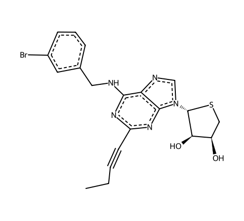 CCC#Cc1nc(NCc2cccc(Br)c2)c2ncn([C@@H]3SC[C@@H](O)[C@H]3O)c2n1